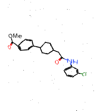 COC(=O)c1ccc(C2CCC(CC(=O)Nc3cccc(Cl)c3)CC2)cc1